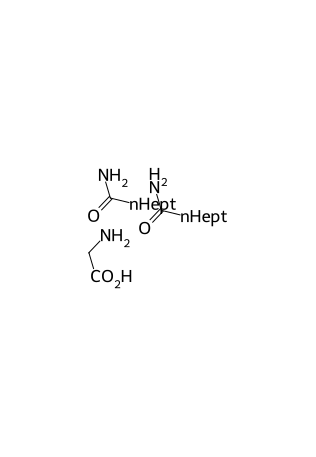 CCCCCCCC(N)=O.CCCCCCCC(N)=O.NCC(=O)O